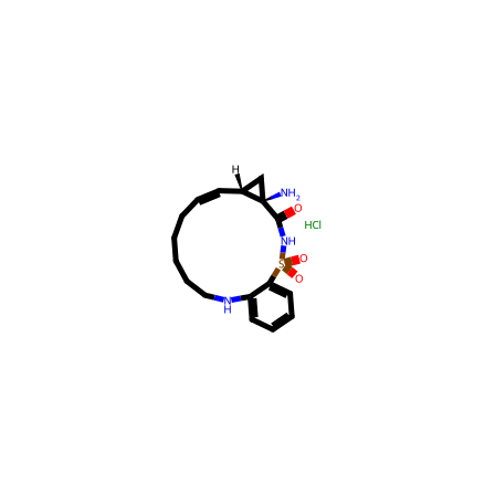 Cl.N[C@]12C[C@H]1C=CCCCCCNc1ccccc1S(=O)(=O)NC2=O